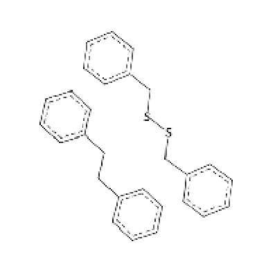 c1ccc(CCc2ccccc2)cc1.c1ccc(CSSCc2ccccc2)cc1